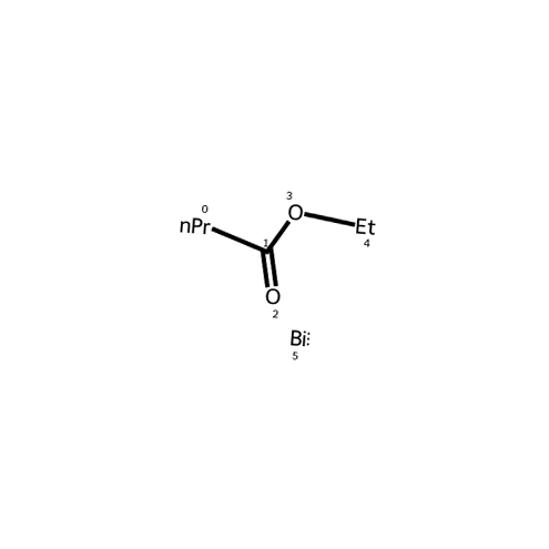 CCCC(=O)OCC.[Bi]